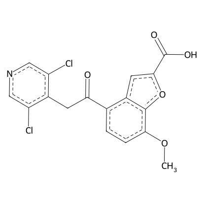 COc1ccc(C(=O)Cc2c(Cl)cncc2Cl)c2cc(C(=O)O)oc12